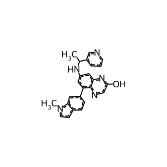 CC(Nc1cc(-c2ccc3ccn(C)c3c2)c2ncc(O)nc2c1)c1cccnc1